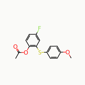 COc1ccc(Sc2cc(F)ccc2OC(C)=O)cc1